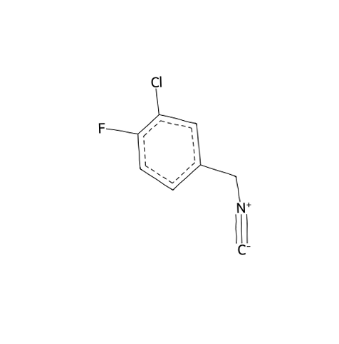 [C-]#[N+]Cc1ccc(F)c(Cl)c1